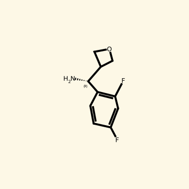 N[C@@H](c1ccc(F)cc1F)C1COC1